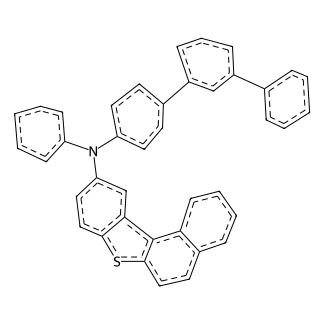 c1ccc(-c2cccc(-c3ccc(N(c4ccccc4)c4ccc5sc6ccc7ccccc7c6c5c4)cc3)c2)cc1